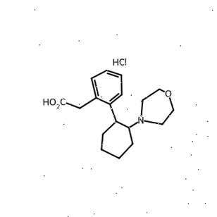 Cl.O=C(O)Cc1ccccc1C1CCCCC1N1CCOCC1